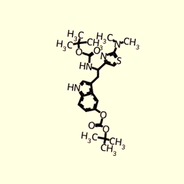 CN(C)c1nc(C(Cc2c[nH]c3ccc(OC(=O)OC(C)(C)C)cc23)NC(=O)OC(C)(C)C)cs1